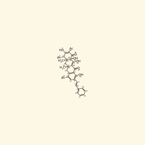 CC(=O)C1=C(O)C(C(C)C)[C@@]2(C)C[C@@]3(C)Cc4c(C(C)C)cc(/C=C/c5ccccc5)c(O)c4C(=O)C3=C(O)[C@@]2(O)C1=O